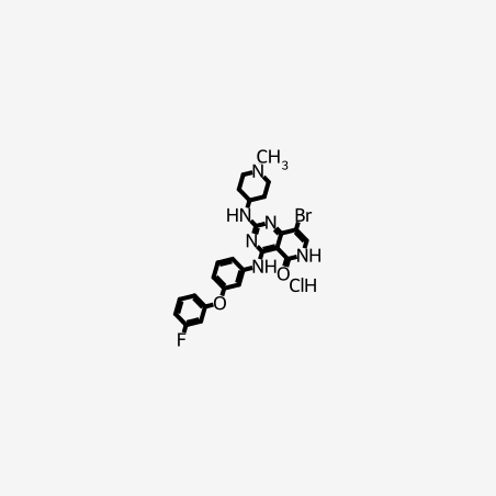 CN1CCC(Nc2nc(Nc3cccc(Oc4cccc(F)c4)c3)c3c(=O)[nH]cc(Br)c3n2)CC1.Cl